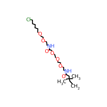 C=CCC(CC)(CC)CC(=O)NCCOCCOCCOCC(=O)NCCOCCOCCCCCCCl